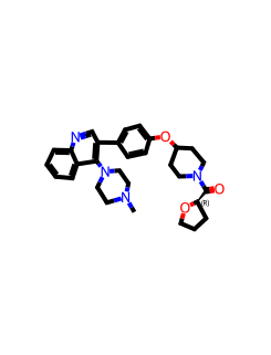 CN1CCN(c2c(-c3ccc(OC4CCN(C(=O)[C@H]5CCCO5)CC4)cc3)cnc3ccccc23)CC1